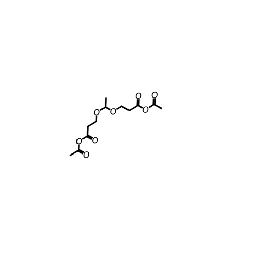 CC(=O)OC(=O)CCOC(C)OCCC(=O)OC(C)=O